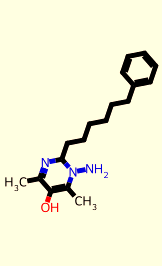 CC1=NC(CCCCCCc2ccccc2)N(N)C(C)=C1O